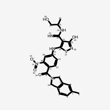 Cc1ccc2c(c1)CN(C(=O)c1ccc(Nc3snc(O)c3C(=N)NC(C)CO)cc1[N+](=O)[O-])C2